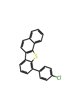 Clc1ccc(-c2cccc3c2sc2c4ccccc4ccc32)cc1